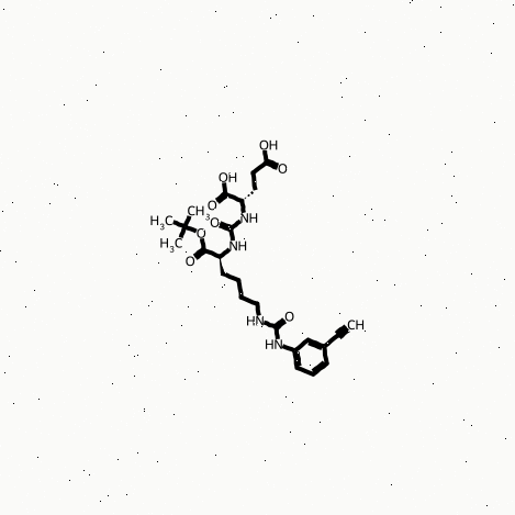 C#Cc1cccc(NC(=O)NCCCC[C@H](NC(=O)N[C@@H](CCC(=O)O)C(=O)O)C(=O)OC(C)(C)C)c1